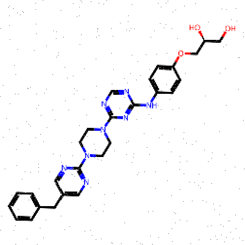 OC[C@H](O)COc1ccc(Nc2ncnc(N3CCN(c4ncc(Cc5ccccc5)cn4)CC3)n2)cc1